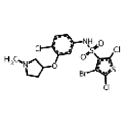 CN1CCC(Oc2cc(NS(=O)(=O)c3c(Cl)sc(Cl)c3Br)ccc2Cl)C1